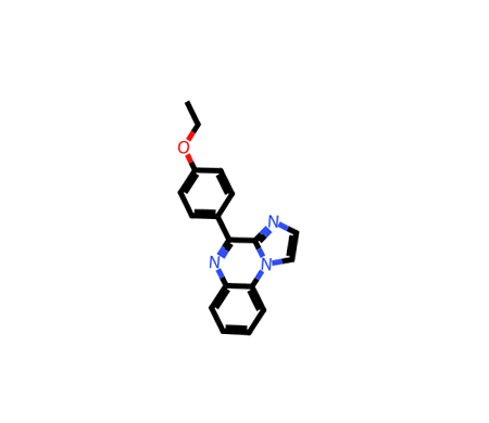 CCOc1ccc(-c2nc3ccccc3n3ccnc23)cc1